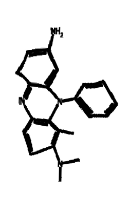 Cc1c(N(C)C)ccc2c1N(c1ccccc1)C1=CC(N)=CCC1=N2